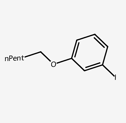 CCCCCCOc1cccc(I)c1